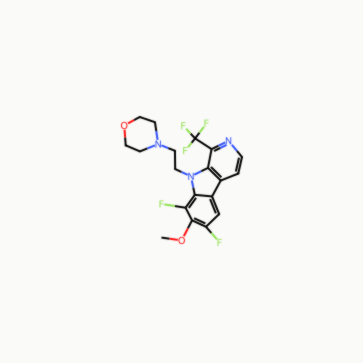 COc1c(F)cc2c3ccnc(C(F)(F)F)c3n(CCN3CCOCC3)c2c1F